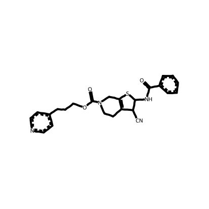 N#CC1C2=C(CN(C(=O)OCCCc3ccncc3)CC2)SC1NC(=O)c1ccccc1